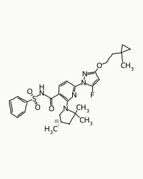 C[C@@H]1CN(c2nc(-n3nc(OCCC4(C)CC4)cc3F)ccc2C(=O)NS(=O)(=O)c2ccccc2)C(C)(C)C1